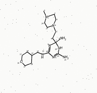 CN1CCN(CCC2(N)N=C(NCC3CCOCC3)N=C(N)N2)CC1